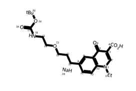 CCn1cc(C(=O)O)c(=O)c2cc(CCCOCCNC(=O)OC(C)(C)C)ccc21.[NaH]